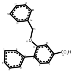 O=C(O)c1ccc(-c2ccccc2)c(OCc2ccccc2)c1